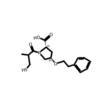 CC(CS)C(=O)N1C[C@H](OCCc2ccccc2)C[C@H]1C(=O)O